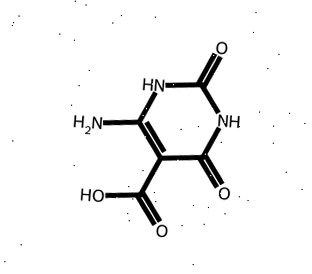 Nc1[nH]c(=O)[nH]c(=O)c1C(=O)O